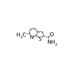 Cc1ccc2cc(C(N)=O)sc2n1